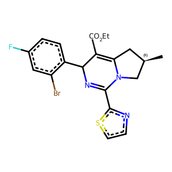 CCOC(=O)C1=C2C[C@@H](C)CN2C(c2nccs2)=NC1c1ccc(F)cc1Br